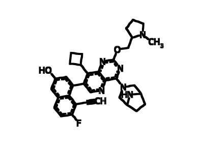 C#Cc1c(F)ccc2cc(O)cc(-c3cnc4c(N5CC6CCC(C5)N6)nc(OCC5CCCN5C)nc4c3C3CCC3)c12